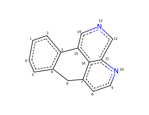 c1ccc2c(c1)Cc1ccnc3cncc-2c13